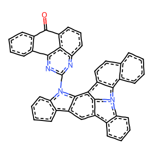 O=C1c2ccccc2-c2nc(-n3c4ccccc4c4cc5c6ccccc6n6c7c8ccccc8ccc7c(c43)c56)nc3cccc1c23